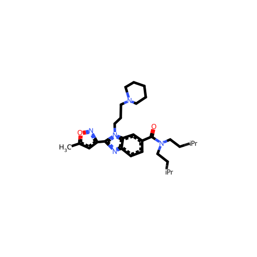 Cc1cc(-c2nc3ccc(C(=O)N(CCC(C)C)CCC(C)C)cc3n2CCCN2CCCCC2)no1